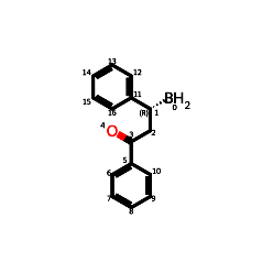 B[C@H](CC(=O)c1ccccc1)c1ccccc1